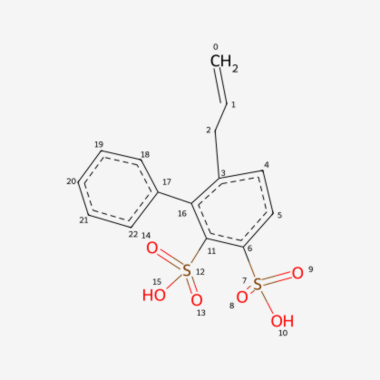 C=CCc1ccc(S(=O)(=O)O)c(S(=O)(=O)O)c1-c1ccccc1